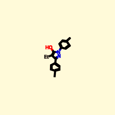 CCc1c(-c2ccc(C)cc2)nn(-c2ccc(C)cc2)c1O